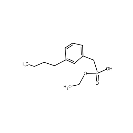 CCCCc1cccc(CP(=O)(O)OCC)c1